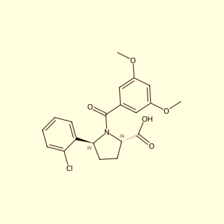 COc1cc(OC)cc(C(=O)N2[C@H](C(=O)O)CC[C@H]2c2ccccc2Cl)c1